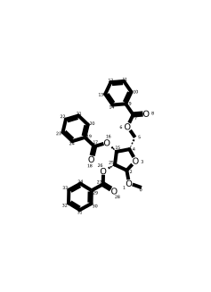 COC1O[C@@H](COC(=O)c2ccccc2)[C@@H](OC(=O)c2ccccc2)[C@H]1OC(=O)c1ccccc1